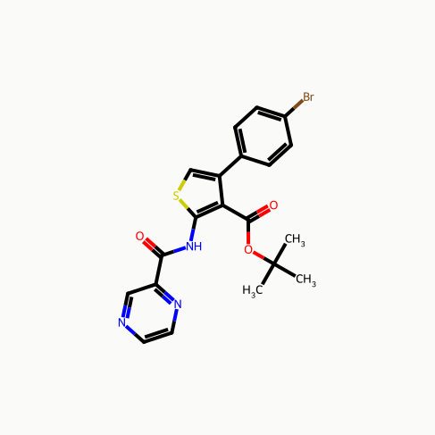 CC(C)(C)OC(=O)c1c(-c2ccc(Br)cc2)csc1NC(=O)c1cnccn1